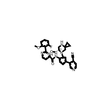 COc1cccc(F)c1-c1nccc(C(=O)Nc2ccc(-c3cnccc3C#N)cc2N2CC3(CC3)NC[C@H]2CO)n1